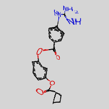 N=C(N)Nc1ccc(C(=O)Oc2cccc(OC(=O)C3CCC3)c2)cc1